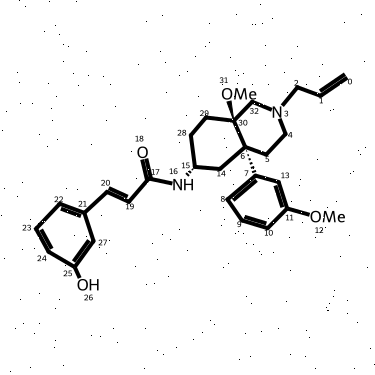 C=CCN1CC[C@@]2(c3cccc(OC)c3)C[C@H](NC(=O)C=Cc3cccc(O)c3)CC[C@]2(OC)C1